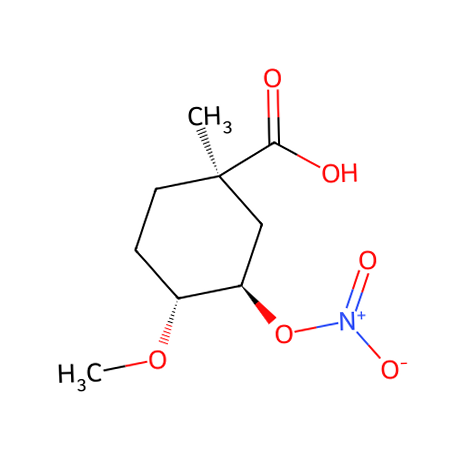 CO[C@@H]1CC[C@@](C)(C(=O)O)C[C@H]1O[N+](=O)[O-]